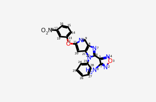 Nc1nonc1-c1nc2cnc(Oc3cccc([N+](=O)[O-])c3)cc2n1-c1ccccc1